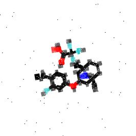 Cc1ccc(O[C@@H]2C[C@H]3CCC[C@@H](C2)N3)cc1F.O=C(O)C(F)(F)F